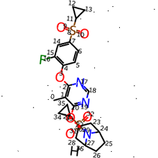 Cc1c(Oc2ccc(S(=O)(=O)C3CC3)cc2F)ncnc1O[C@H]1CC2CC[C@@H](C1)N2S(=O)(=O)C1CC1